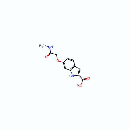 CNC(=O)COc1ccc2cc(C(=O)O)[nH]c2c1